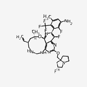 C=CC1CNCNc2nc(OCC34CCCN3C[C@H](F)C4)nc3c(F)c(-c4c(F)c(N)cc(C)c4C(F)(F)F)nc(c23)O[C@@H](C)C1